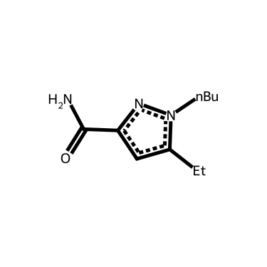 CCCCn1nc(C(N)=O)cc1CC